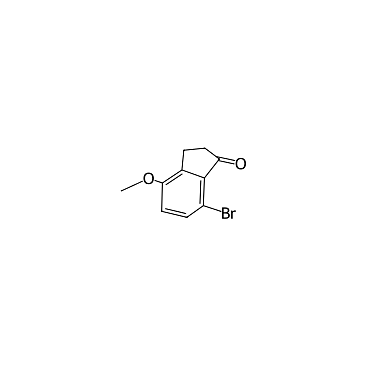 COc1ccc(Br)c2c1CCC2=O